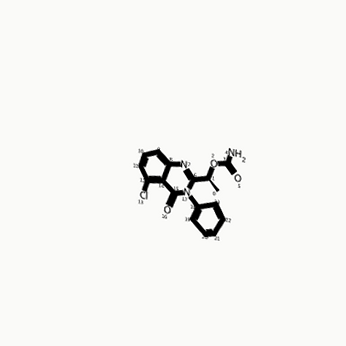 C[C@H](OC(N)=O)c1nc2cccc(Cl)c2c(=O)n1-c1ccccc1